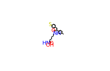 CSc1ccc(C=C(C(=O)NCCCCCC(=O)NO)c2ccc(C)cc2)cc1